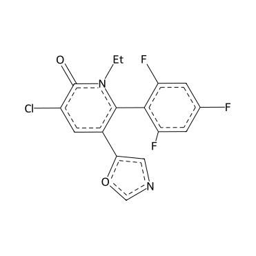 CCn1c(-c2c(F)cc(F)cc2F)c(-c2cnco2)cc(Cl)c1=O